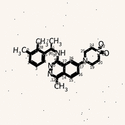 Cc1cccc([C@@H](C)Nc2nnc(C)c3ccc(N4CCS(=O)(=O)CC4)cc23)c1C